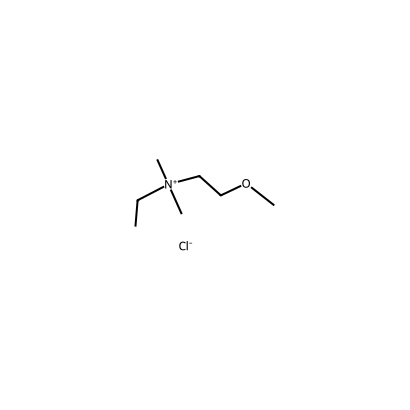 CC[N+](C)(C)CCOC.[Cl-]